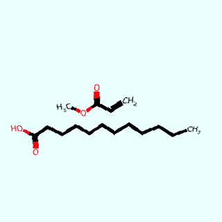 C=CC(=O)OC.CCCCCCCCCCCC(=O)O